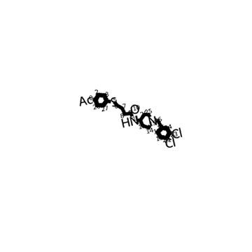 CC(=O)c1ccc(SCCCC(=O)NC2CCN(Cc3ccc(Cl)c(Cl)c3)CC2)cc1